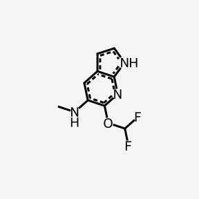 CNc1cc2cc[nH]c2nc1OC(F)F